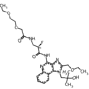 CCOCCOCC(=O)NC[C@@H](F)C(=O)Nc1nc2ccccc2c2c1nc(COCC)n2CC(C)(C)O